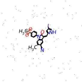 Cc1cc2c(cc1C#N)C(=Cc1cc(I)c[nH]1)C(=O)N2c1ccc(S(C)(=O)=O)cc1